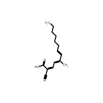 CCCCCCC=CC(C)=CC=C(C#N)C(=O)O